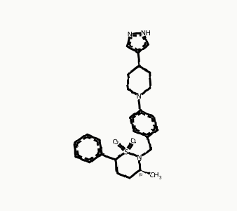 C[C@H]1CCC(c2ccccc2)S(=O)(=O)N1Cc1ccc(N2CCC(c3cn[nH]c3)CC2)cc1